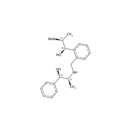 CN[C@@H](C)[C@H](O)c1ccccc1CN[C@@H](C)[C@H](O)c1ccccc1